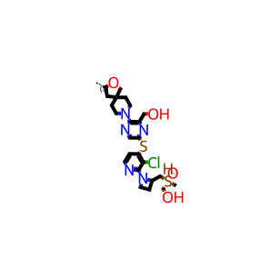 C[C@H]1CC2(CCN(c3ncc(Sc4ccnc(N5CCC5C[SH](C)(=O)CO)c4Cl)nc3CO)CC2)CO1